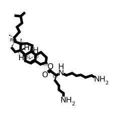 CC(C)CCC[C@@H](C)[C@H]1CC[C@H]2[C@@H]3CC=C4C[C@@H](OC(=O)[C@H](CCCCN)NCCCCCCN)CC[C@]4(C)[C@H]3CC[C@]12C